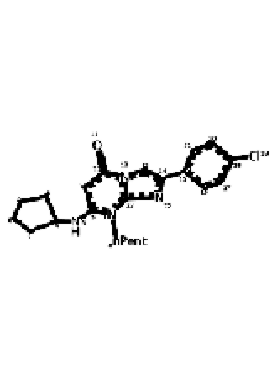 CCCCCn1c(NC2CCCC2)cc(=O)n2cc(-c3ccc(Cl)cc3)nc12